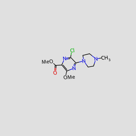 COC(=O)c1nc(Cl)c(N2CCN(C)CC2)nc1OC